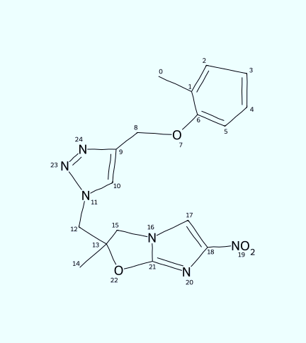 Cc1ccccc1OCc1cn(CC2(C)Cn3cc([N+](=O)[O-])nc3O2)nn1